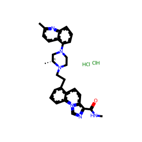 CNC(=O)c1ncn2c1ccc1c(CCN3CCN(c4cccc5nc(C)ccc45)C[C@H]3C)cccc12.Cl.Cl